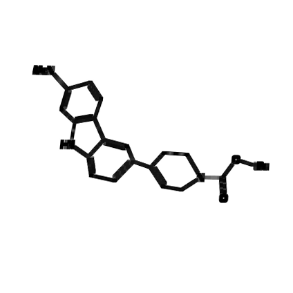 CNc1ccc2c(c1)[nH]c1ccc(C3=CCN(C(=O)OC(C)(C)C)CC3)cc12